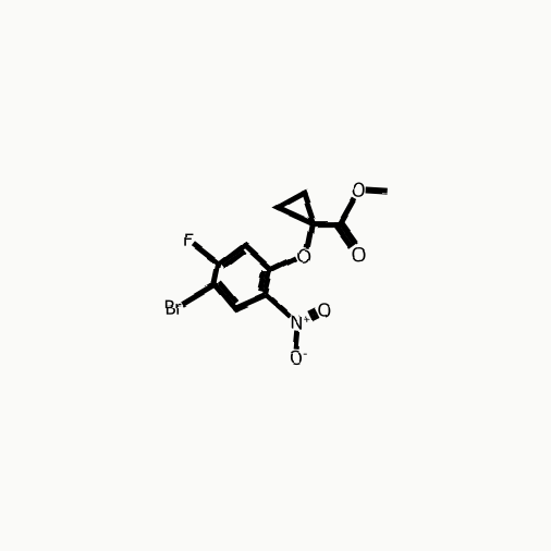 COC(=O)C1(Oc2cc(F)c(Br)cc2[N+](=O)[O-])CC1